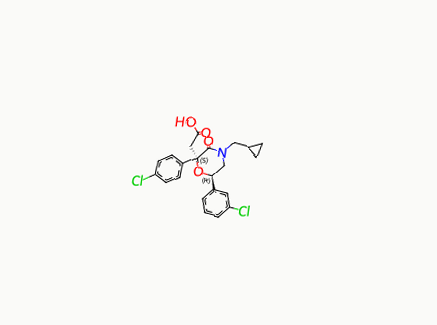 O=C(O)C[C@@]1(c2ccc(Cl)cc2)O[C@H](c2cccc(Cl)c2)CN(CC2CC2)C1=O